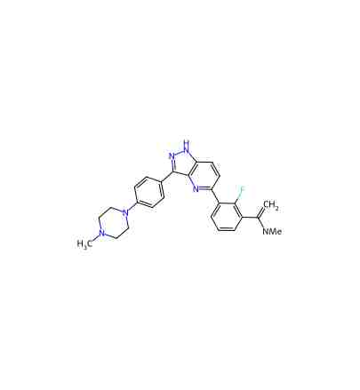 C=C(NC)c1cccc(-c2ccc3[nH]nc(-c4ccc(N5CCN(C)CC5)cc4)c3n2)c1F